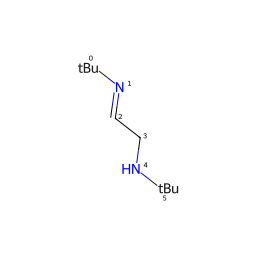 CC(C)(C)N=CCNC(C)(C)C